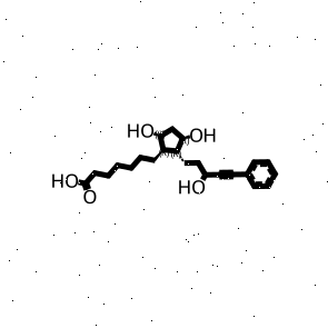 O=C(O)CCCCCC[C@@H]1[C@@H](CCC(O)C#Cc2ccccc2)[C@H](O)C[C@@H]1O